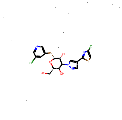 OC[C@H]1O[C@H](Sc2cncc(Cl)c2)[C@H](O)[C@@H](n2cc(-c3nc(Cl)cs3)cn2)[C@H]1O